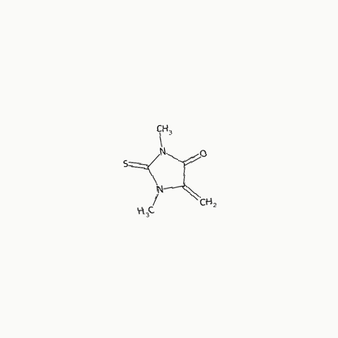 C=C1C(=O)N(C)C(=S)N1C